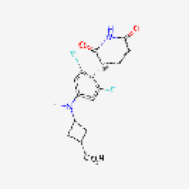 CN(c1cc(F)c([C@H]2CCC(=O)NC2=O)c(F)c1)C1CC(C(=O)O)C1